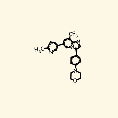 Cc1ccc(-c2cc(C(F)(F)F)c3ncc(-c4ccc(N5CCOCC5)cc4)n3c2)cn1